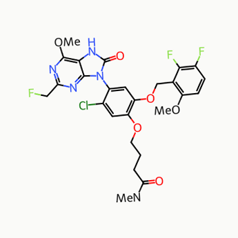 CNC(=O)CCCOc1cc(Cl)c(-n2c(=O)[nH]c3c(OC)nc(CF)nc32)cc1OCc1c(OC)ccc(F)c1F